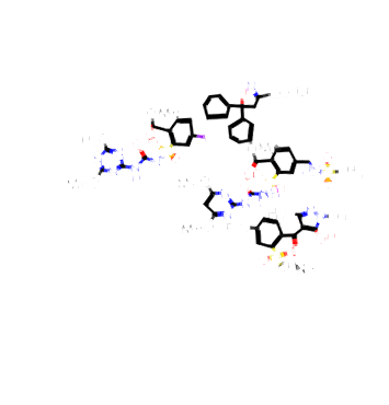 CCOC(=O)C1=NOC(c2ccccc2)(c2ccccc2)C1.COC(=O)c1ccc(CNS(C)(=O)=O)cc1S(=O)(=O)NC(=O)Nc1nc(OC)cc(OC)n1.COC(=O)c1ccc(I)cc1S(=O)(=O)[N-]C(=O)Nc1nc(C)nc(OC)n1.Cc1nn(C)c(O)c1C(=O)c1ccc(C(F)(F)F)cc1S(C)(=O)=O.[Na+]